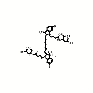 C=C1C(/C=C/C=C/C=C/C=C2/N(CCCC(=O)NC(C=O)CC(=O)O)c3cc(Br)ccc3C2(C)C)=[N+](CCCC(=O)NC(CC(=O)O)C(=O)O)c2cc(Br)ccc21